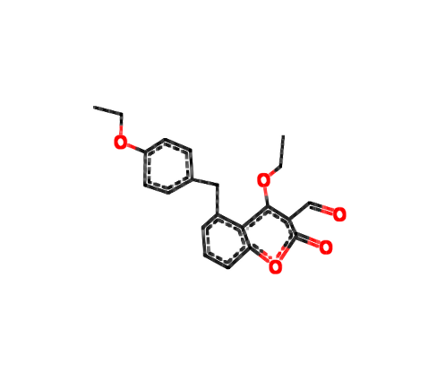 CCOc1ccc(Cc2cccc3oc(=O)c(C=O)c(OCC)c23)cc1